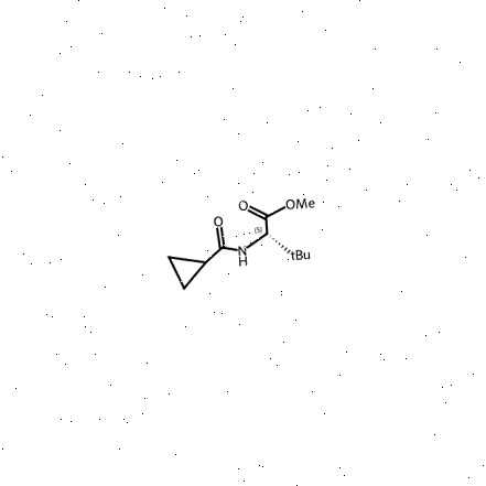 COC(=O)[C@@H](NC(=O)C1CC1)C(C)(C)C